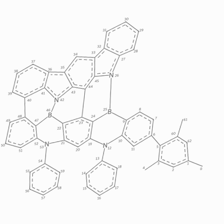 Cc1cc(C)c(-c2ccc3c(c2)N(c2ccccc2)c2cc4c5c6c2B3n2c3ccccc3c3cc7c8cccc9c8n(c7c-6c32)B5c2c-9cccc2N4c2ccccc2)c(C)c1